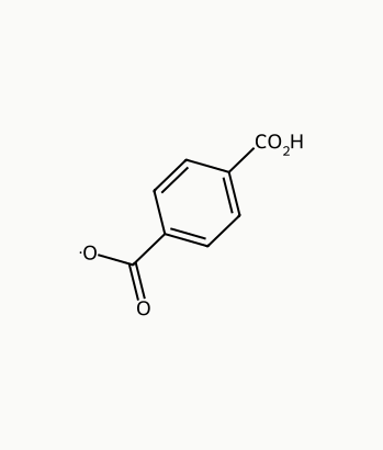 [O]C(=O)c1ccc(C(=O)O)cc1